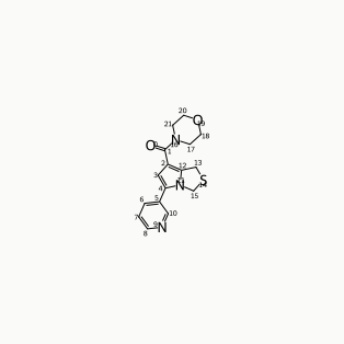 O=C(c1cc(-c2cccnc2)n2c1CSC2)N1CCOCC1